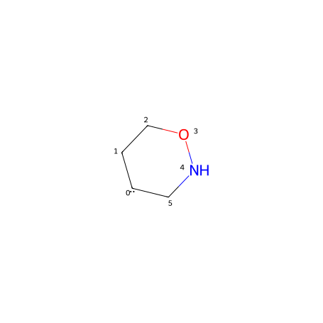 [C]1CCONC1